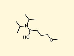 COCCCP(O)N(C(C)C)C(C)C